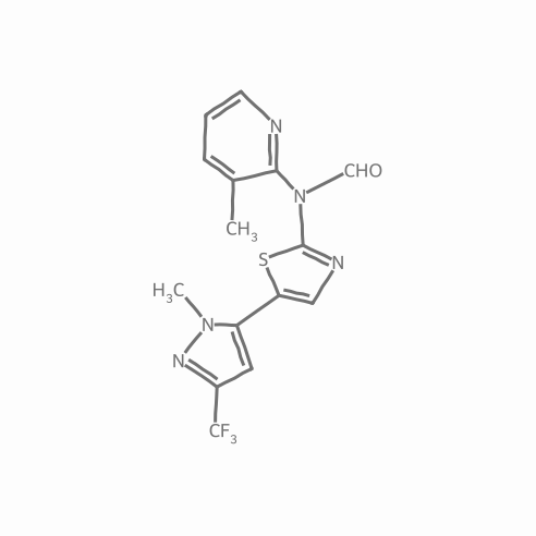 Cc1cccnc1N(C=O)c1ncc(-c2cc(C(F)(F)F)nn2C)s1